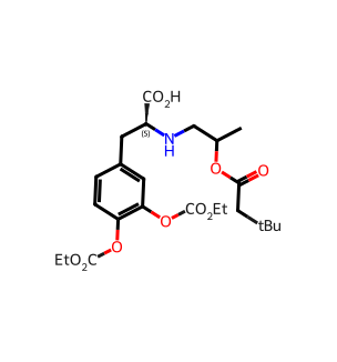 CCOC(=O)Oc1ccc(C[C@H](NCC(C)OC(=O)CC(C)(C)C)C(=O)O)cc1OC(=O)OCC